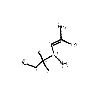 CCC/C(N)=C\N(N)C(C)(C)CO